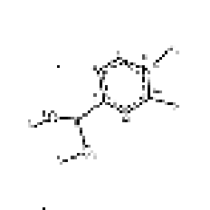 COC(OC)c1cc[n+](C)c(C)c1